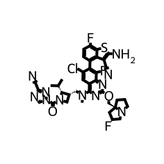 CC(C)[C@@H]1[C@H](CN(C)c2nc(OC[C@@]34CCCN3C[C@H](F)C4)nc3c(F)c(-c4ccc(F)c5sc(N)c(C#N)c45)c(Cl)cc23)CN1C(=O)n1cnc(C#N)n1